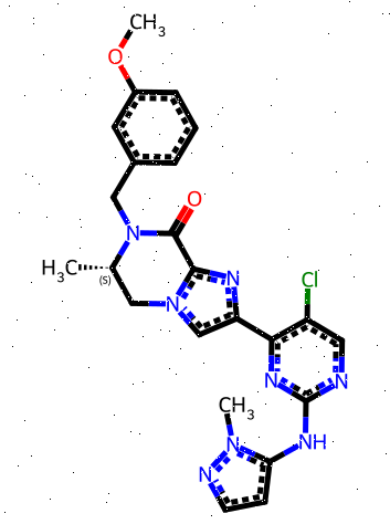 COc1cccc(CN2C(=O)c3nc(-c4nc(Nc5ccnn5C)ncc4Cl)cn3C[C@@H]2C)c1